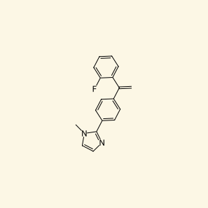 C=C(c1ccc(-c2nccn2C)cc1)c1ccccc1F